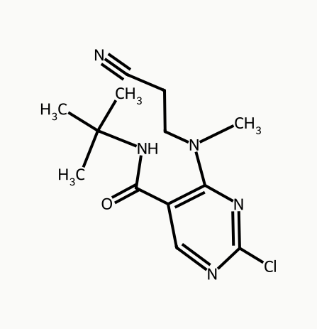 CN(CCC#N)c1nc(Cl)ncc1C(=O)NC(C)(C)C